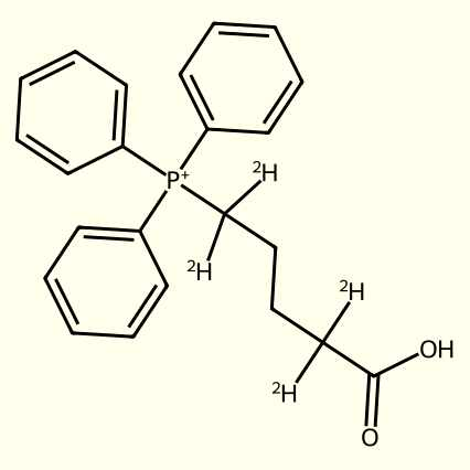 [2H]C([2H])(CCC([2H])([2H])[P+](c1ccccc1)(c1ccccc1)c1ccccc1)C(=O)O